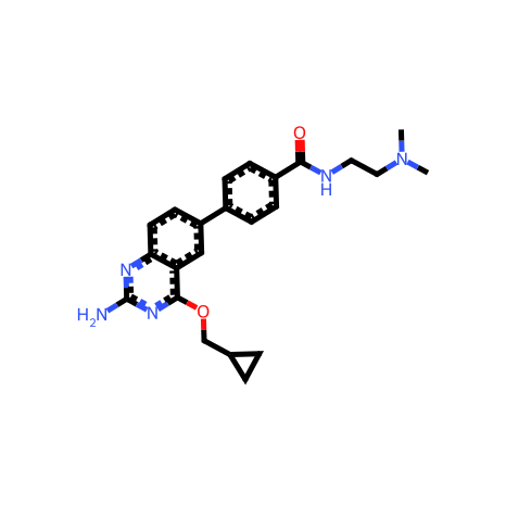 CN(C)CCNC(=O)c1ccc(-c2ccc3nc(N)nc(OCC4CC4)c3c2)cc1